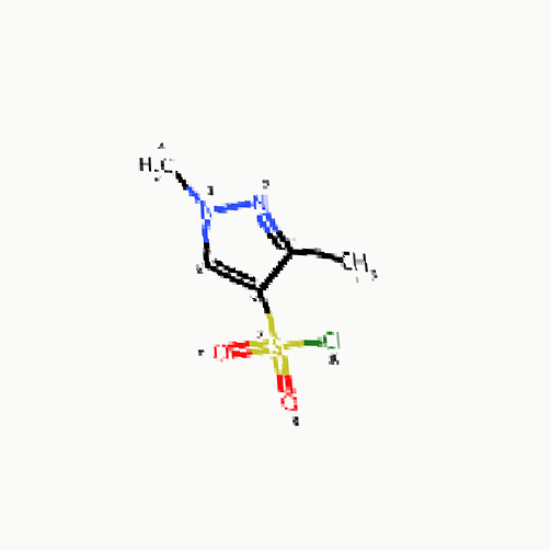 Cc1nn(C)cc1S(=O)(=O)Cl